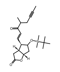 CC#CCC(C)C(=O)/C=C/[C@H]1C(O[Si](C)(C)C(C)(C)C)C[C@@H]2OC(=O)C[C@@H]21